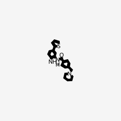 Nc1ccc(-c2cccs2)cc1NC(=O)c1ccc(CN2CCCCC2)cc1